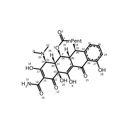 CCCCCC(=O)O[C@H]1[C@H]2C(=C(O)[C@]3(O)C(=O)C(C(N)=O)=C(O)[C@@H](N(C)C)[C@H]13)C(=O)c1c(O)cccc1[C@@H]2C